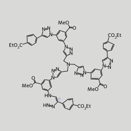 CCOC(=O)c1ccc(/C(=C/Nc2cc(C(=O)OC)cc(-n3cc(CN(Cc4cn(-c5cc(C(=O)OC)cc(-n6cc(-c7ccc(C(=O)OCC)cc7)nn6)c5)nn4)Cc4cn(-c5cc(C(=O)OC)cc(-n6cc(-c7ccc(C(=O)OCC)cc7)nn6)c5)nn4)nn3)c2)N=N)cc1